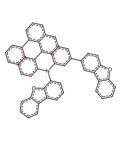 c1ccc(-c2cccc3cccc(-c4ccccc4N(c4cccc(-c5ccc6oc7ccccc7c6c5)c4)c4cccc5c4oc4ccccc45)c23)cc1